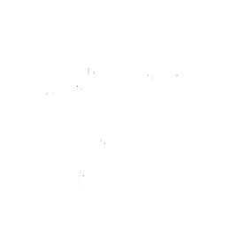 CCCCNCC(CNCCCC)(CNCCCC)CN1CCNC1=O